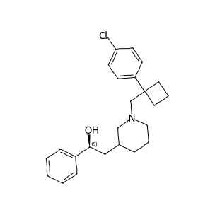 O[C@@H](CC1CCCN(CC2(c3ccc(Cl)cc3)CCC2)C1)c1ccccc1